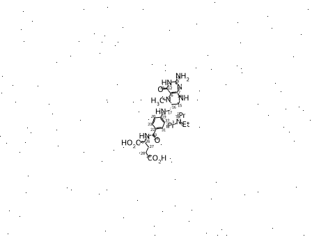 CCN(C(C)C)C(C)C.CN1c2c(nc(N)[nH]c2=O)NC[C@@H]1CNc1ccc(C(=O)NC(CCC(=O)O)C(=O)O)cc1